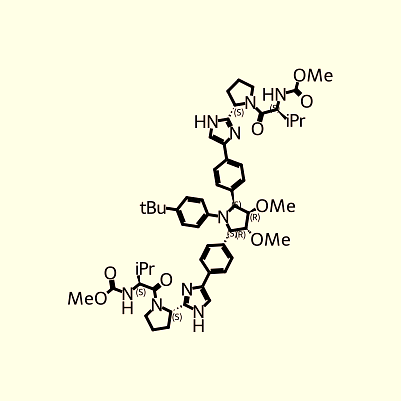 COC(=O)N[C@H](C(=O)N1CCC[C@H]1c1nc(-c2ccc([C@H]3[C@@H](OC)[C@H](OC)[C@H](c4ccc(-c5c[nH]c([C@@H]6CCCN6C(=O)[C@@H](NC(=O)OC)C(C)C)n5)cc4)N3c3ccc(C(C)(C)C)cc3)cc2)c[nH]1)C(C)C